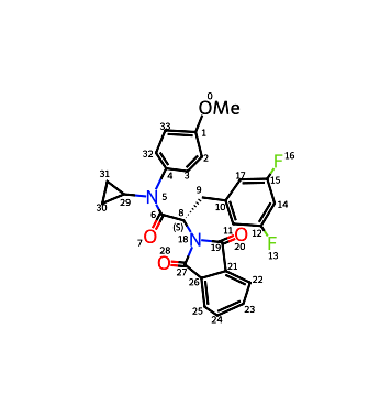 COc1ccc(N(C(=O)[C@H](Cc2cc(F)cc(F)c2)N2C(=O)c3ccccc3C2=O)C2CC2)cc1